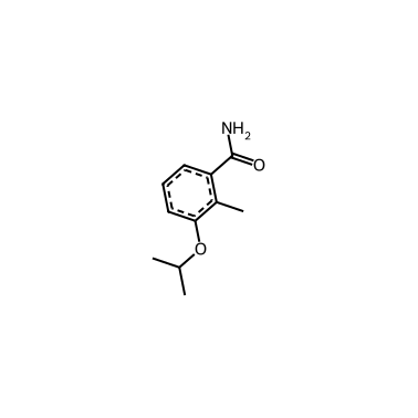 Cc1c(OC(C)C)cccc1C(N)=O